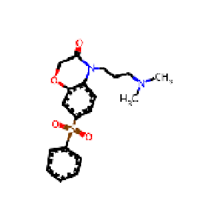 CN(C)CCCN1C(=O)COc2cc(S(=O)(=O)c3ccccc3)ccc21